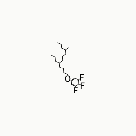 CCCC(C)CCCC(CCC)CCCCOc1cc(F)c(F)c(F)c1